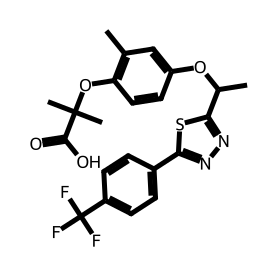 Cc1cc(OC(C)c2nnc(-c3ccc(C(F)(F)F)cc3)s2)ccc1OC(C)(C)C(=O)O